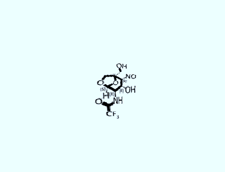 O=N[C@@H]1[C@H](O)[C@@H](NC(=O)C(F)(F)F)[C@H]2OC[C@]1(CO)O2